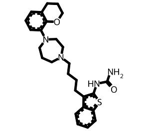 NC(=O)Nc1sc2ccccc2c1CCCCN1CCCN(c2cccc3c2OCCC3)CC1